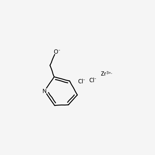 [Cl-].[Cl-].[O-]Cc1ccccn1.[Zr+3]